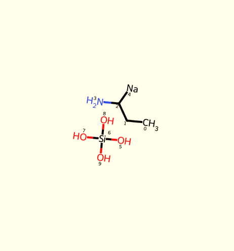 CC[CH](N)[Na].O[Si](O)(O)O